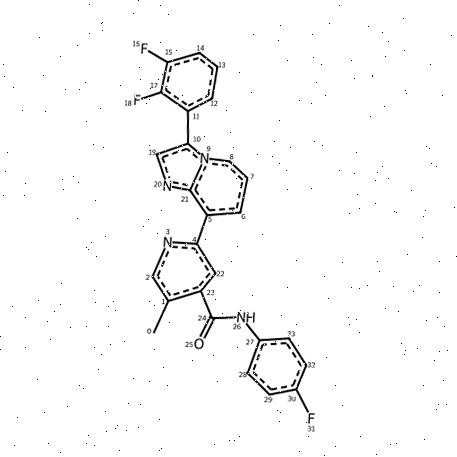 Cc1cnc(-c2cccn3c(-c4cccc(F)c4F)cnc23)cc1C(=O)Nc1ccc(F)cc1